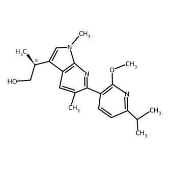 COc1nc(C(C)C)ccc1-c1nc2c(cc1C)c([C@H](C)CO)cn2C